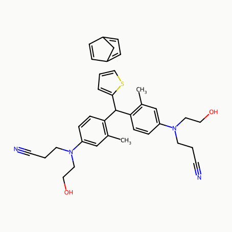 C1=CC2=CC=C1C2.Cc1cc(N(CCO)CCC#N)ccc1C(c1cccs1)c1ccc(N(CCO)CCC#N)cc1C